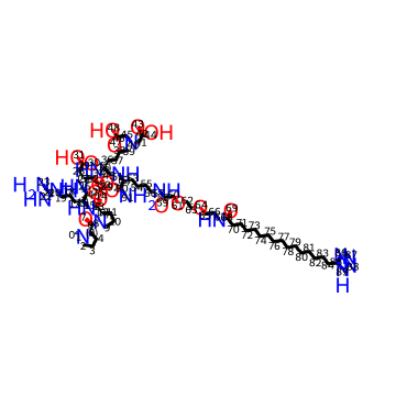 CN1CCC[C@@H]1C(=O)N1CCC[C@@H]1C(=O)N[C@@H](CCCNC(=N)N)C(=O)N[C@@H](CC(=O)O)C(=O)N[C@@H](CCCCN(CC(=O)O)CC(=O)O)C(=O)N[C@@H](CCCCNC(=O)COCCOCCNC(=O)CCCCCCCCCCCCCCCc1nnn[nH]1)C(N)=O